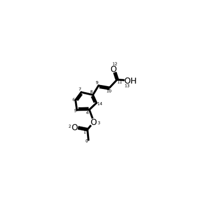 CC(=O)Oc1cccc(C=CC(=O)O)c1